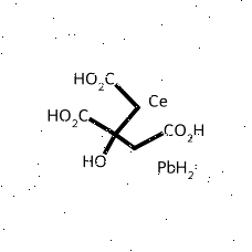 O=C(O)CC(O)(CC(=O)O)C(=O)O.[Ce].[PbH2]